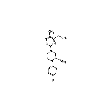 CCc1nc(N2CCN(c3ccc(F)cc3)C(C#N)C2)cnc1C